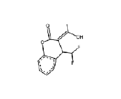 CC(O)=C1C(=O)Oc2ccccc2C1C(F)F